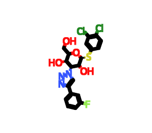 OCC1O[C@H](Sc2ccc(Cl)c(Cl)c2)C(O)[C@@H](n2cc(-c3cccc(F)c3)nn2)[C@H]1O